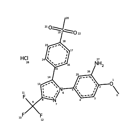 COc1ccc(-n2nc(C(F)(F)F)cc2-c2ccc(S(C)(=O)=O)cc2)cc1N.Cl